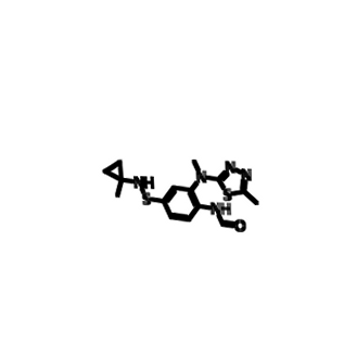 Cc1nnc(N(C)c2cc(SNC3(C)CC3)ccc2NC=O)s1